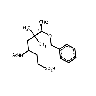 CC(=O)NC(CCS(=O)(=O)O)CC(C)(C)[C@@H](C=O)OCc1ccccc1